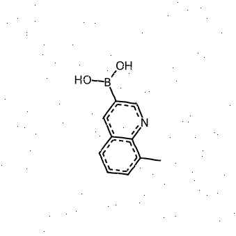 Cc1cccc2cc(B(O)O)cnc12